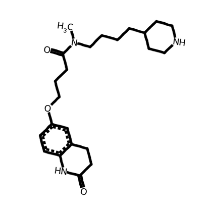 CN(CCCCC1CCNCC1)C(=O)CCCOc1ccc2c(c1)CCC(=O)N2